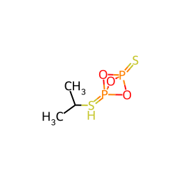 CC(C)[SH]=P12OP(=S)(O1)O2